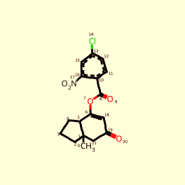 CC12CCCC1C(OC(=O)c1ccc(Cl)cc1[N+](=O)[O-])=CC(=O)C2